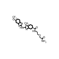 Cn1c(Nc2nc3ccc(OC(F)(F)F)cc3s2)nc2cc(C(=O)NCCOCC(N)=O)ccc21